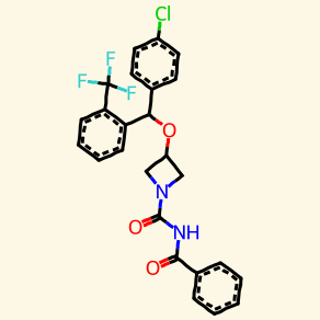 O=C(NC(=O)N1CC(OC(c2ccc(Cl)cc2)c2ccccc2C(F)(F)F)C1)c1ccccc1